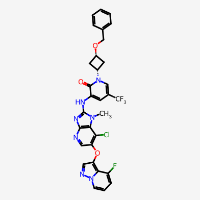 Cn1c(Nc2cc(C(F)(F)F)cn([C@H]3C[C@H](OCc4ccccc4)C3)c2=O)nc2ncc(Oc3cnn4cccc(F)c34)c(Cl)c21